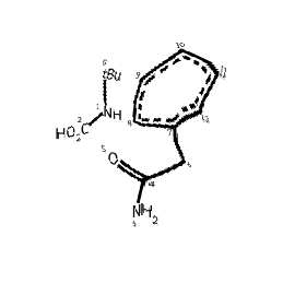 CC(C)(C)NC(=O)O.NC(=O)Cc1ccccc1